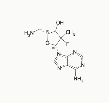 CC1(F)C(O)[C@@H](CN)O[C@H]1n1cnc2c(N)ncnc21